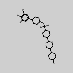 CC1CCC(C2COC(C3CCC(C(F)(F)OC4CCC(c5cc(F)c(F)c(F)c5)CC4)CC3)OC2)CC1